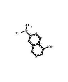 CN(C)c1ccc2c(O)cccc2c1